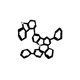 C1=C(c2ccc3c(c2)c2cc(-c4ccccc4)cc(-c4ccccc4)c2n3-c2cccc(-c3ccccc3)c2)c2c(oc3ccccc23)CC1